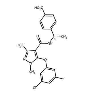 Cc1nn(C)c(Oc2cc(F)cc(Cl)c2)c1C(=O)N[C@@H](C)c1ccc(C(=O)O)cc1